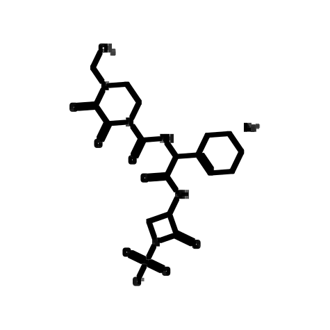 CCN1CCN(C(=O)NC(C(=O)NC2CN(S(=O)(=O)[O-])C2=O)C2=CCCCC2)C(=O)C1=O.[Na+]